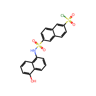 O=S(=O)(Cl)c1ccc2cc(S(=O)(=O)Nc3cccc4c(O)cccc34)ccc2c1